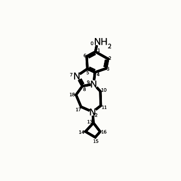 Nc1ccc2c(c1)nc1n2CCN(C2CCC2)CC1